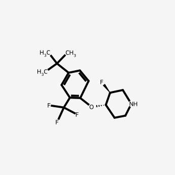 CC(C)(C)c1ccc(O[C@H]2CCNC[C@@H]2F)c(C(F)(F)F)c1